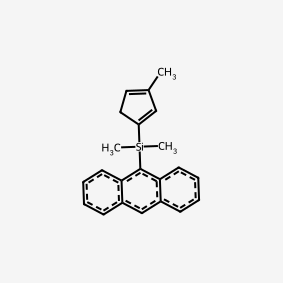 CC1=CCC([Si](C)(C)c2c3ccccc3cc3ccccc23)=C1